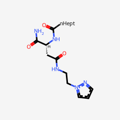 CCCCCCCC(=O)N[C@H](CC(=O)NCCn1cccn1)C(N)=O